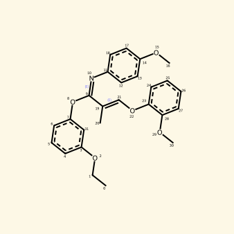 CCOc1cccc(OC(=N/c2ccc(OC)cc2)/C(C)=C/Oc2ccccc2OC)c1